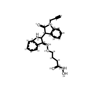 C#CCN1C(=O)C(C2Nc3ccccc3/C2=N\OCCCC(=O)NO)c2ccccc21